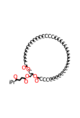 CC(C)C(=O)CCC(=O)OC[C@H]1COC(=O)CCCCCCCCCCCCCCCCCCCCCCCCCCCCCCCCCCCCC(=O)O1